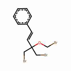 BrCOC(C=Cc1ccccc1)(CBr)CBr